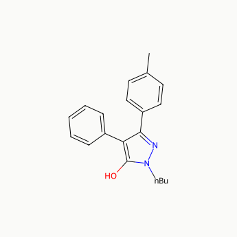 CCCCn1nc(-c2ccc(C)cc2)c(-c2ccccc2)c1O